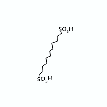 O=S(=O)(O)CCCCCCCCCCCCS(=O)(=O)O